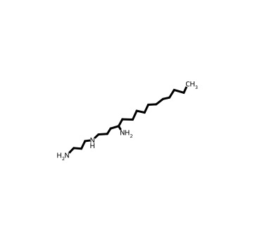 CCCCCCCCCCCC(N)CCCNCCCN